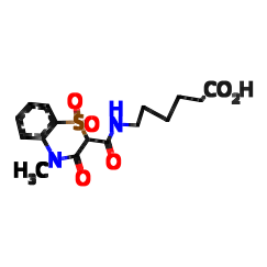 CN1C(=O)C(C(=O)NCCCCCC(=O)O)S(=O)(=O)c2ccccc21